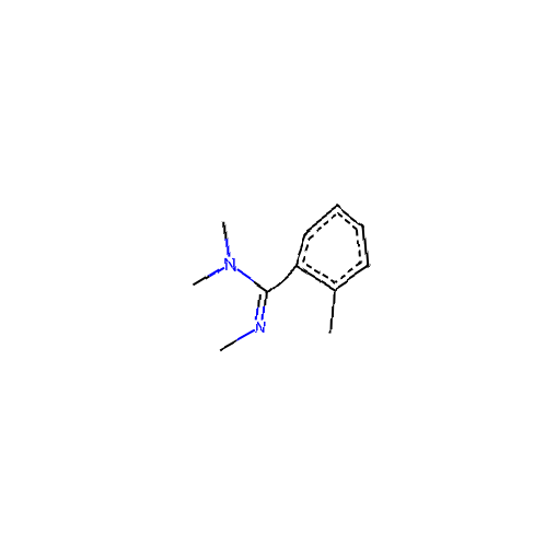 CN=C(c1ccccc1C)N(C)C